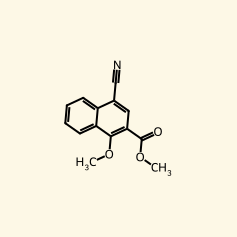 COC(=O)c1cc(C#N)c2ccccc2c1OC